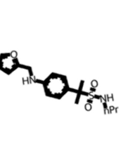 CCCNS(=O)(=O)C(C)(C)c1ccc(NCc2ccco2)cc1